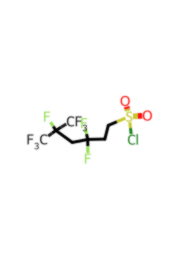 O=S(=O)(Cl)CCC(F)(F)CC(F)(C(F)(F)F)C(F)(F)F